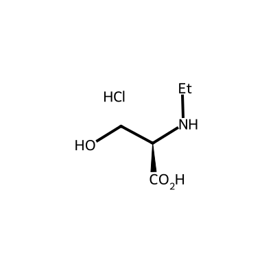 CCN[C@H](CO)C(=O)O.Cl